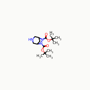 CC(C)(C)OC(=O)N1C2CNCC(C2)N1C(=O)OC(C)(C)C